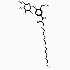 CC(=O)OCc1cc(NC(=O)COCCOCCOCCOCCON)ccc1OC1OC(C(=O)O)C(O)C(O)C1O